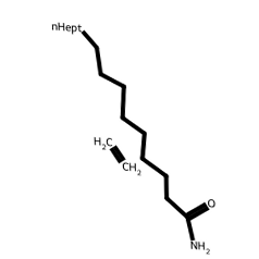 C=C.CCCCCCCCCCCCCCCC(N)=O